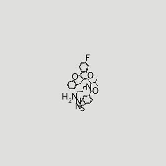 CC(C)C(c1oc2cc(F)ccc2c(=O)c1Cc1ccccc1)N(CCCN)C(=O)c1ccc2snnc2c1